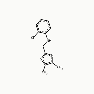 Cc1nc(CNc2ccccc2Cl)sc1C